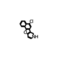 Clc1cc2c3c(oc2c2ccccc12)C=CNC3